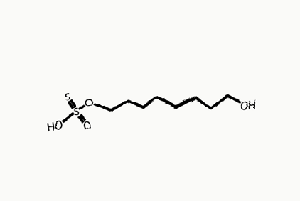 O=S(O)(=S)OCCCCCCCCO